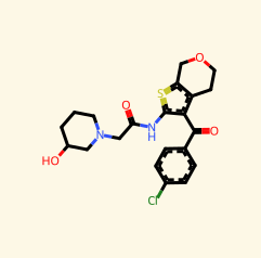 O=C(CN1CCCC(O)C1)Nc1sc2c(c1C(=O)c1ccc(Cl)cc1)CCOC2